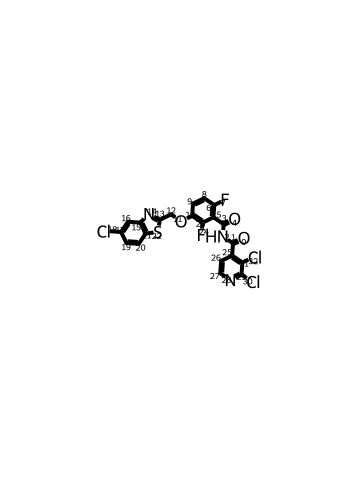 O=C(NC(=O)c1c(F)ccc(OCc2nc3cc(Cl)ccc3s2)c1F)c1ccnc(Cl)c1Cl